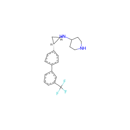 FC(F)(F)c1cccc(-c2ccc([C@@H]3C[C@H]3NC3CCNCC3)cc2)c1